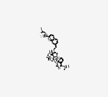 CNc1ncnc2c1ccn2[C@@H]1C[C@H](CCc2ccc3ccc(NCC(F)F)nc3c2)[C@H]2OC(C)(C)O[C@H]21